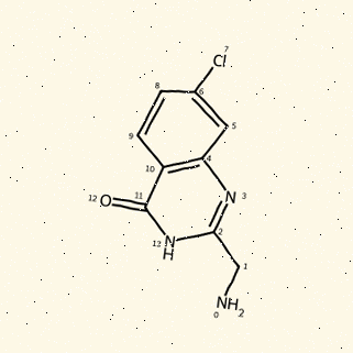 NCc1nc2cc(Cl)ccc2c(=O)[nH]1